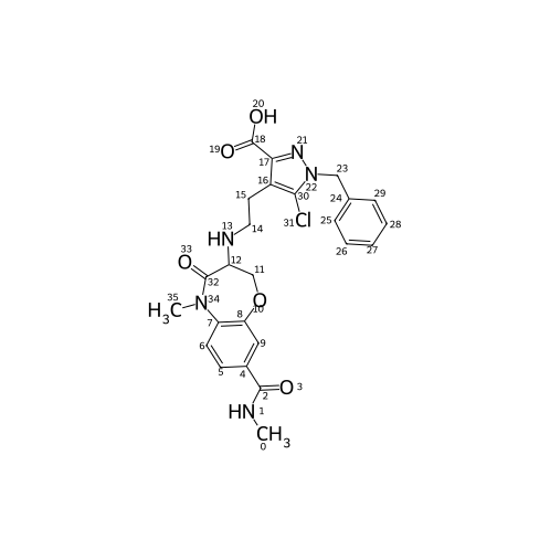 CNC(=O)c1ccc2c(c1)OCC(NCCc1c(C(=O)O)nn(Cc3ccccc3)c1Cl)C(=O)N2C